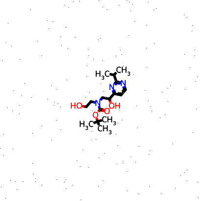 CC(C)c1nccc(C(O)CN(CCO)C(=O)OC(C)(C)C)n1